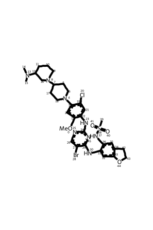 COc1cc(N2CCC(N3CCCC(N(C)C)C3)CC2)c(Cl)cc1Nc1ncc(Br)c(Nc2cc3c(cc2NS(C)(=O)=O)CCO3)n1